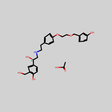 CC(=O)O.OCc1cc([C@@H](O)CNCCc2ccc(OCCOCc3cccc(O)c3)cc2)ccc1O